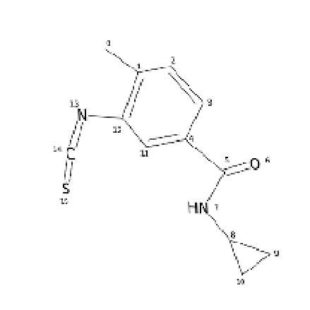 Cc1ccc(C(=O)NC2CC2)cc1N=C=S